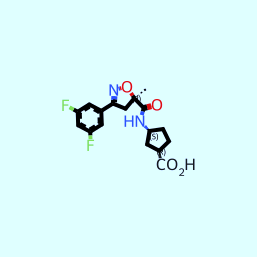 C[C@]1(C(=O)N[C@H]2CC[C@@H](C(=O)O)C2)CC(c2cc(F)cc(F)c2)=NO1